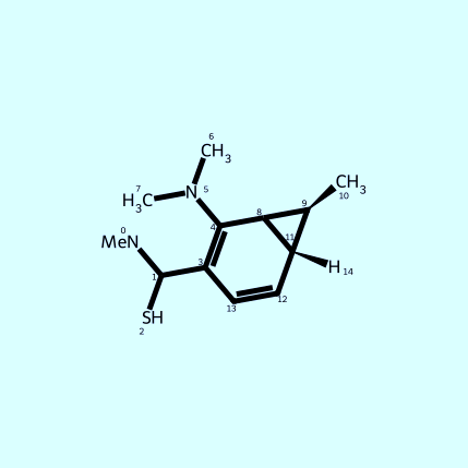 CNC(S)C1=C(N(C)C)C2[C@@H](C)[C@@H]2C=C1